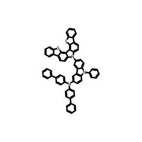 c1ccc(-c2ccc(N(c3ccc(-c4ccccc4)cc3)c3ccc4c(c3)c3cc(-n5c6ccc7c8ccccc8sc7c6c6c7sc8ccccc8c7ccc65)ccc3n4-c3ccccc3)cc2)cc1